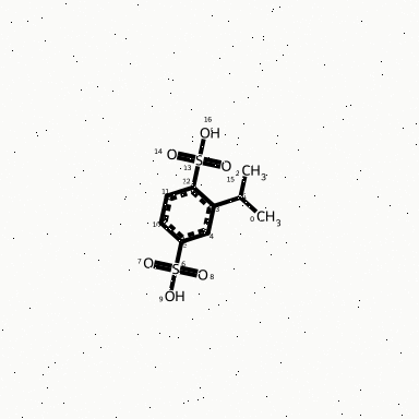 CC(C)c1cc(S(=O)(=O)O)ccc1S(=O)(=O)O